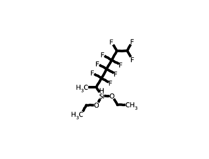 CCO[SiH](OCC)C(C)C(F)(F)C(F)(F)C(F)(F)C(F)C(F)F